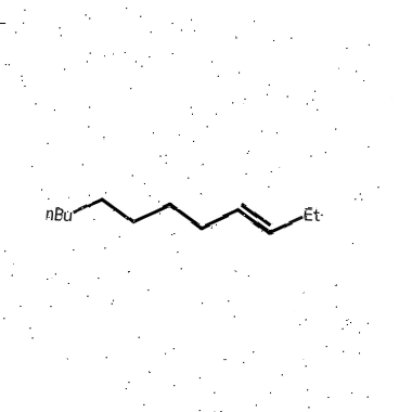 C[CH]C=CCCCCCCCC